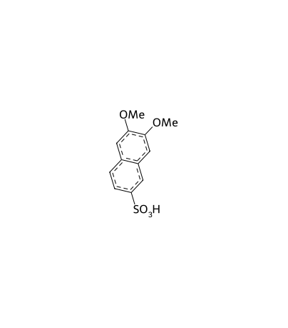 COc1cc2ccc(S(=O)(=O)O)cc2cc1OC